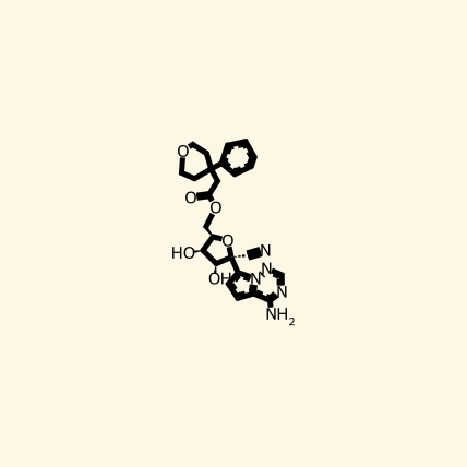 N#C[C@@]1(c2ccc3c(N)ncnn23)O[C@H](COC(=O)CC2(c3ccccc3)CCOCC2)[C@@H](O)[C@H]1O